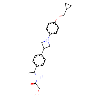 CC(NC(=O)CO)c1ccc(C2CN(c3ccc(OCC4CC4)cc3)C2)cc1